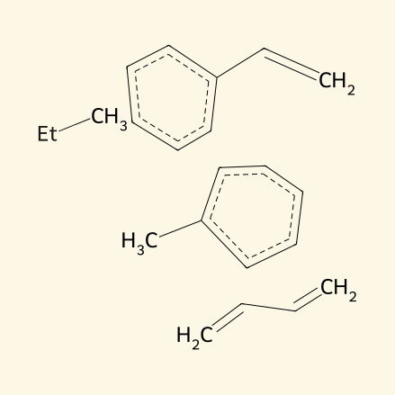 C=CC=C.C=Cc1ccccc1.CCC.Cc1ccccc1